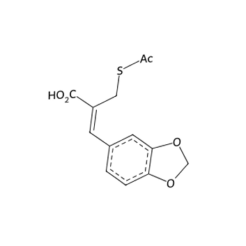 CC(=O)SCC(=Cc1ccc2c(c1)OCO2)C(=O)O